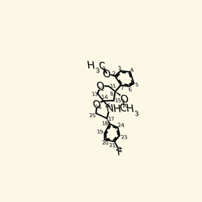 COc1ccccc1[C@@]1(OC)COCC2(C1)N[C@@H](c1ccc(F)cc1)CO2